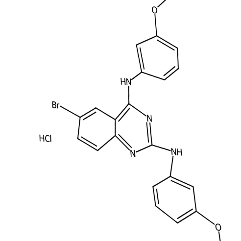 COc1cccc(Nc2nc(Nc3cccc(OC)c3)c3cc(Br)ccc3n2)c1.Cl